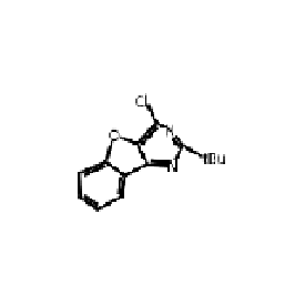 CC(C)(C)c1nc(Cl)c2oc3ccccc3c2n1